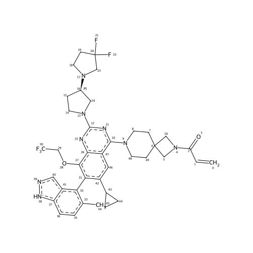 C=CC(=O)N1CC2(CCN(c3nc(N4CC[C@@H](N5CCC(F)(F)C5)C4)nc4c(OCC(F)(F)F)c(-c5c(C)ccc6[nH]ncc56)c(C5CC5)cc34)CC2)C1